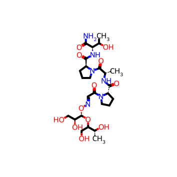 CC(O)[C@H](NC(=O)[C@@H]1CCCN1C(=O)[C@H](C)NC(=O)[C@@H]1CCCN1C(=O)/C=N/O[C@H](OC(CO)[C@@H](C)O)[C@@H](O)CO)C(N)=O